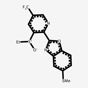 CC[S+]([O-])c1cc(C(F)(F)F)cnc1-c1nc2cc(SC)ccc2o1